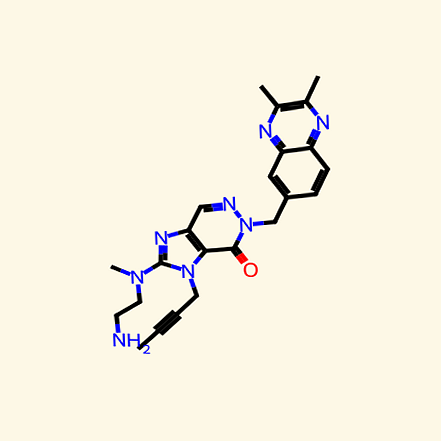 CC#CCn1c(N(C)CCN)nc2cnn(Cc3ccc4nc(C)c(C)nc4c3)c(=O)c21